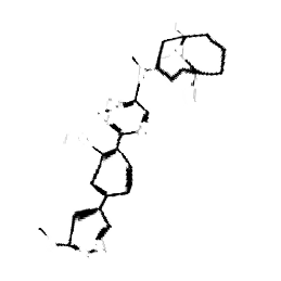 CSc1cc(-c2ccc(-c3ncc(N(C)[C@@H]4C[C@H]5CCC[C@@H](C4)N5)nn3)c(O)c2)cnn1